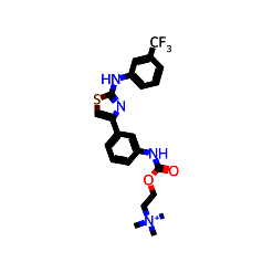 C[N+](C)(C)CCOC(=O)Nc1cccc(-c2csc(Nc3cccc(C(F)(F)F)c3)n2)c1